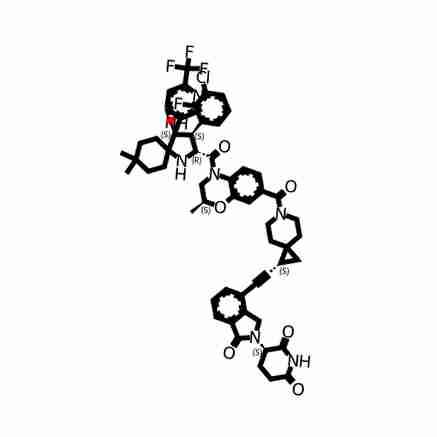 C[C@H]1CN(C(=O)[C@@H]2NC3(CCC(C)(C)CC3)[C@@]3(CNc4cc(C(F)(F)F)ncc43)[C@H]2c2cccc(Cl)c2F)c2ccc(C(=O)N3CCC4(CC3)C[C@@H]4C#Cc3cccc4c3CN([C@H]3CCC(=O)NC3=O)C4=O)cc2O1